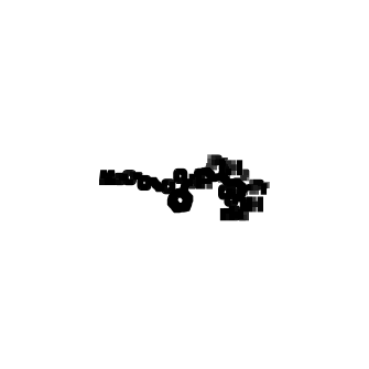 CCCCNC(=O)[C@@H](C[C@H](O)[C@@H](N)C[C@H](CNC(=O)c1ccccc1OCCOCOC)C(C)C)C(C)C